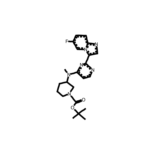 CN(c1ccnc(-c2cnc3ccc(F)cn23)n1)C1CCCN(C(=O)OC(C)(C)C)C1